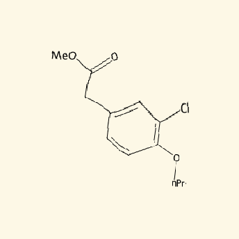 CC[CH]Oc1ccc(CC(=O)OC)cc1Cl